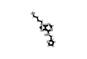 BrCCCCn1cnc2c(NCc3ccco3)ncnc21